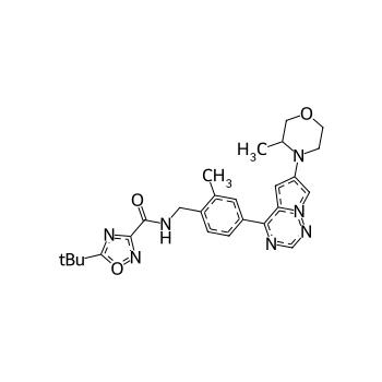 Cc1cc(-c2ncnn3cc(N4CCOCC4C)cc23)ccc1CNC(=O)c1noc(C(C)(C)C)n1